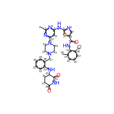 Cc1nc(Nc2ncc(C(=O)Nc3c(C)cccc3Cl)s2)cc(N2CCN(Cc3ccccc3NC3CCC(=O)NC3=O)CC2)n1